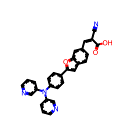 N#CC(=Cc1ccc2cc(-c3ccc(N(c4cccnc4)c4cccnc4)cc3)oc2c1)C(=O)O